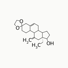 C=C1C[C@]2(CC)C(O)CCC2C2CC=C3CC4(CCC3C12)OCCO4